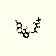 CC(CNC(=O)OC(C)(C)C)COc1cccc2c1C(=O)N(C1CCC(=O)NC1=O)C2=O